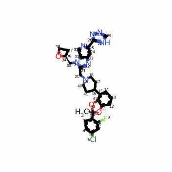 C[C@]1(c2ccc(Cl)cc2F)Oc2cccc(C3CCN(Cc4nc5cc(-c6nnc[nH]6)ncc5n4C[C@@H]4CCO4)CC3)c2O1